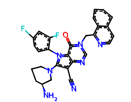 N#Cc1c(N2CCC[C@H](N)C2)n(-c2ccc(F)cc2F)c2c(=O)n(Cc3nccc4ccccc34)cnc12